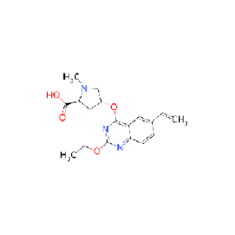 C=Cc1ccc2nc(OCC)nc(O[C@@H]3C[C@@H](C(=O)O)N(C)C3)c2c1